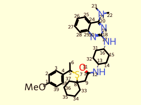 COc1ccc(C(C)SC2(CC(=O)N[C@H]3CC[C@@H](Nc4nc(N(C)C)c5ccccc5n4)CC3)CCCCC2)cc1